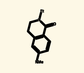 CCN1CCc2cc(NC)ccc2C1=O